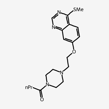 CCCC(=O)N1CCN(CCOc2ccc3c(SC)ncnc3c2)CC1